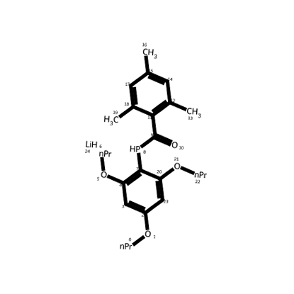 CCCOc1cc(OCCC)c(PC(=O)c2c(C)cc(C)cc2C)c(OCCC)c1.[LiH]